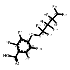 O=C(O)c1c(F)c(F)c(OCC(F)(F)C(F)(F)C(F)(F)C(F)F)c(F)c1F